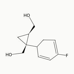 OC[C@@H]1C[C@@]1(CO)C1C=CC(F)=CC1